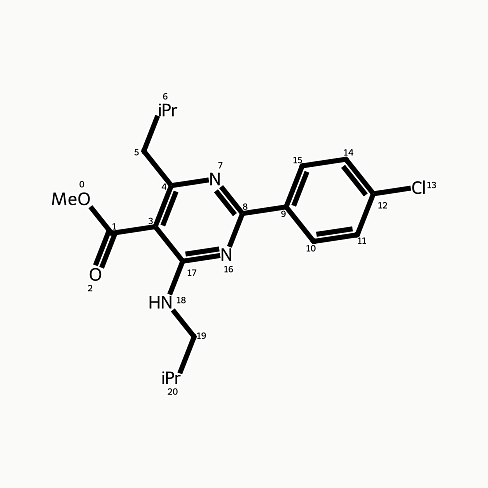 COC(=O)c1c(CC(C)C)nc(-c2ccc(Cl)cc2)nc1NCC(C)C